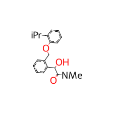 CNC(=O)C(O)c1ccccc1COc1ccccc1C(C)C